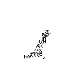 CCc1c(-c2ccc(OCCNC(=O)OC(C)(C)C)cc2)cnc(N)c1-c1ccc(O)cc1